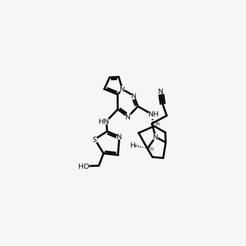 N#CCCN1C2CC[C@H]1C[C@H](Nc1nc(Nc3ncc(CO)s3)c3cccn3n1)C2